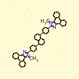 Cn1c(-c2ccc(-c3cccc4c(-c5ccc(-c6nc7c8ccccc8c8ccccc8c7n6C)cc5)cccc34)cc2)nc2c3ccccc3c3ccccc3c21